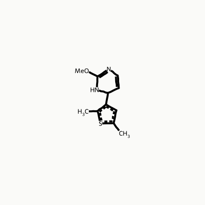 COC1=NC=CC(c2cc(C)sc2C)N1